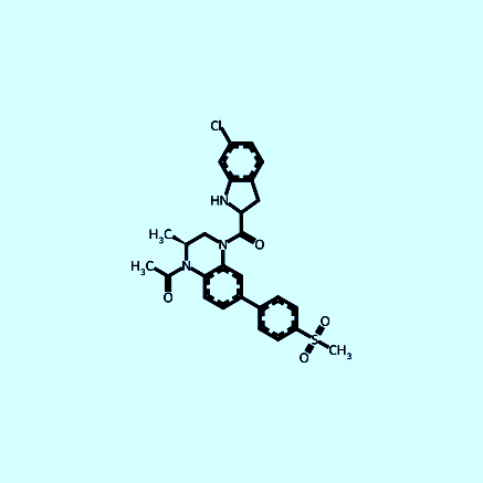 CC(=O)N1c2ccc(-c3ccc(S(C)(=O)=O)cc3)cc2N(C(=O)C2Cc3ccc(Cl)cc3N2)C[C@@H]1C